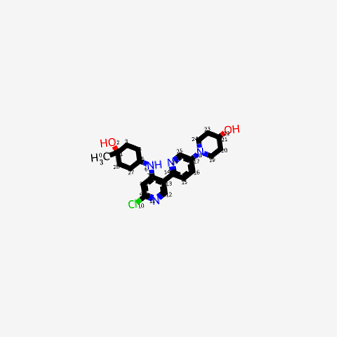 CC1(O)CCC(Nc2cc(Cl)ncc2-c2ccc(N3CCC(O)CC3)cn2)CC1